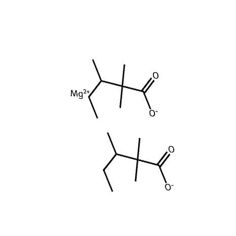 CCC(C)C(C)(C)C(=O)[O-].CCC(C)C(C)(C)C(=O)[O-].[Mg+2]